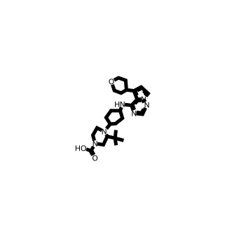 CC(C)(C)C1CN(C(=O)O)CCN1C1CCC(Nc2ncnn3ccc(C4CCOCC4)c23)CC1